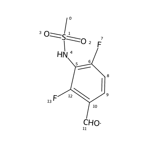 CS(=O)(=O)Nc1c(F)ccc([C]=O)c1F